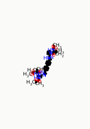 C=C(C)[C@H](NC(=O)OC)C(=O)N1CC=C[C@H]1c1ncc(-c2ccc(-c3ccc(-c4cnc([C@@H]5CN(C(=O)OC(C)C)CN5C(=O)[C@@H](NC(=O)OC)C(C)C)[nH]4)cc3)cc2)[nH]1